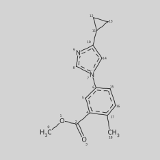 COC(=O)c1cc(-n2cnc(C3CC3)c2)ccc1C